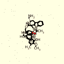 COc1c(C)cc2c(c1O)[C@H]1[C@@H]3[C@@H]4SC[C@]5(N[C@H](CN)Cc6c5[nH]c5ccccc65)C(=O)OC[C@@H](c5c6c(c(C)c(OC(C)=O)c54)OCO6)N3C(O)(C2)CN1C